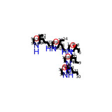 CCC1(C)CNCCO1.CCCC1(C)CNCCO1.CCCC1(CC)CNCCO1.CCCCC1(C)CNCCO1.CCCCC1(CC)CNCCO1